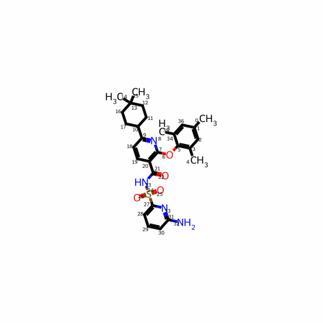 Cc1cc(C)c(Oc2nc(C3CCC(C)(C)CC3)ccc2C(=O)NS(=O)(=O)c2cccc(N)n2)c(C)c1